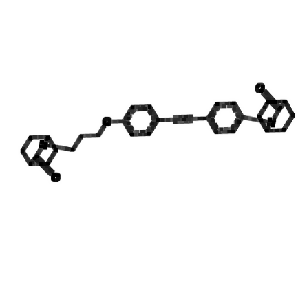 O=C1C2CCC(CC2)N1CCCOc1ccc(C#Cc2ccc(N3C(=O)C4CCC3CC4)cc2)cc1